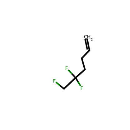 C=CCCC(F)(F)CF